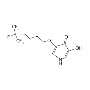 O=c1c(O)c[nH]cc1OCCCCC(F)(C(F)(F)F)C(F)(F)F